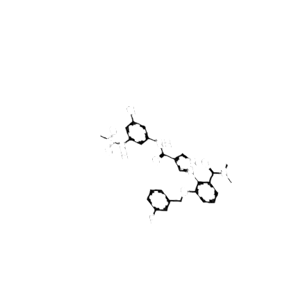 CN(C)C(=O)c1cccc(OCc2cccc(F)c2)c1-n1cc(C(=O)Nc2cc(Cl)cc(NS(C)(=O)=O)c2)cn1